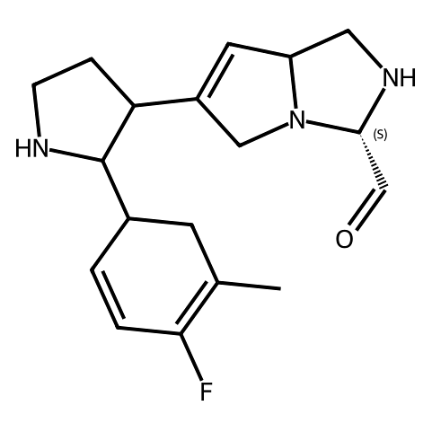 CC1=C(F)C=CC(C2NCCC2C2=CC3CN[C@H](C=O)N3C2)C1